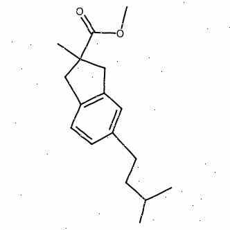 COC(=O)C1(C)Cc2ccc(CCC(C)C)cc2C1